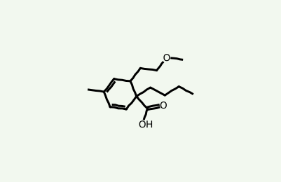 CCCCC1(C(=O)O)C=CC(C)=CC1CCOC